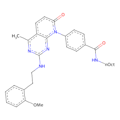 CCCCCCCCNC(=O)c1ccc(-n2c(=O)ccc3c(C)nc(NCCc4ccccc4OC)nc32)cc1